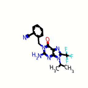 CC(C)n1c(C(F)(F)F)nc2c(=O)n(Cc3ccccc3C#N)c(N)nc21